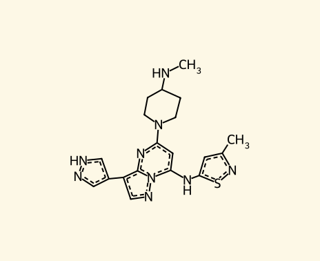 CNC1CCN(c2cc(Nc3cc(C)ns3)n3ncc(-c4cn[nH]c4)c3n2)CC1